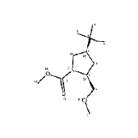 COC[C@@H]1C[C@H](C(C)(C)C)CN1C(=O)OC